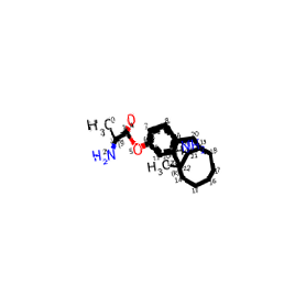 C[C@H](N)C(=O)Oc1ccc2c(c1)[C@@]1(C)CCCCCC(C2)[C@@H]1N